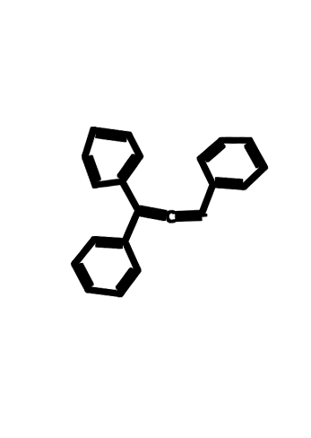 [C](=C=C(c1ccccc1)c1ccccc1)c1ccccc1